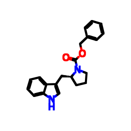 O=C(OCc1ccccc1)N1CCC[C@H]1Cc1c[nH]c2ccccc12